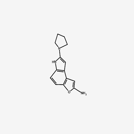 Nc1cc2c(ccc3[nH]c(N4CCCC4)cc32)o1